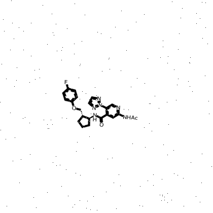 CC(=O)Nc1cc(C(=O)N[C@H]2CCC[C@@H]2COc2ccc(F)cc2)c(-n2nccn2)cn1